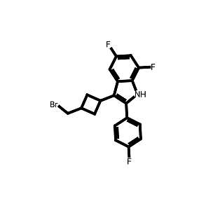 Fc1ccc(-c2[nH]c3c(F)cc(F)cc3c2C2CC(CBr)C2)cc1